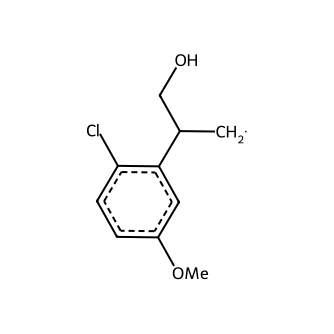 [CH2]C(CO)c1cc(OC)ccc1Cl